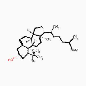 CNC(C)CCC[C@@H](C)[C@H]1CC[C@H]2[C@@H]3CC=C4C[C@@H](O)CC([Si](C)(C)C(C)(C)C)[C@]4(C)[C@H]3CC[C@]12C